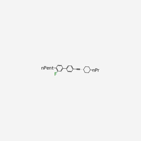 CCCCCc1ccc(-c2ccc(C#C[C@H]3CC[C@H](CCC)CC3)cc2)cc1F